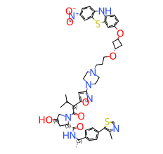 Cc1ncsc1-c1ccc([C@H](C)NC(=O)[C@@H]2C[C@@H](O)CN2C(=O)[C@H](c2cc(N3CCN(CCCO[C@H]4C[C@H](Oc5ccc6c(c5)Sc5cc([N+](=O)[O-])ccc5N6)C4)CC3)no2)C(C)C)cc1